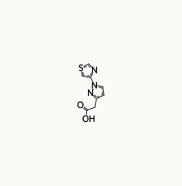 O=C(O)Cc1ccn(-c2cscn2)n1